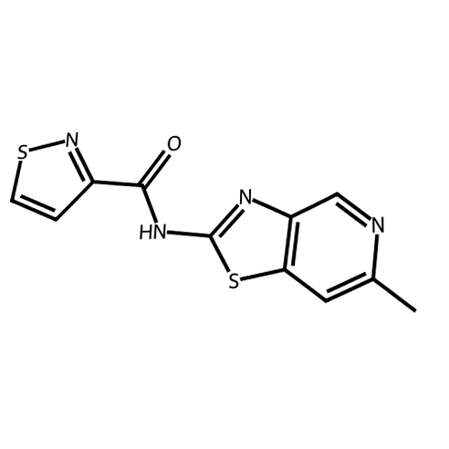 Cc1cc2sc(NC(=O)c3ccsn3)nc2cn1